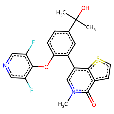 Cn1cc(-c2cc(C(C)(C)O)ccc2Oc2c(F)cncc2F)c2sccc2c1=O